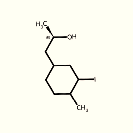 CC1CCC(C[C@@H](C)O)CC1I